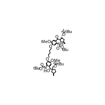 C=C1CC(C(=O)c2cc(OC)c(OCCCCCOc3cc(NC(=O)OC(C)(C)C)c(C(=O)C4(CO[Si](C)(C)C(C)(C)C)CCC(=C)C4)cc3OC)cc2NC(=O)OC(C)(C)C)[C@H](CO[Si](C)(C)C(C)(C)C)C1